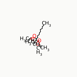 CCCCCCCCCCC(C(=O)OCC(C)C)=C(C(=O)OCC(C)C)C(C)C